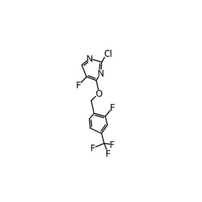 Fc1cc(C(F)(F)F)ccc1COc1nc(Cl)ncc1F